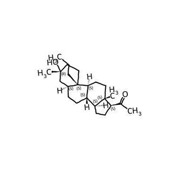 CCC[C@]12CC[C@@](C)(O)C[C@@H]1CC[C@H]1[C@@H]3CC[C@H](C(C)=O)[C@@]3(C)CC[C@@H]12